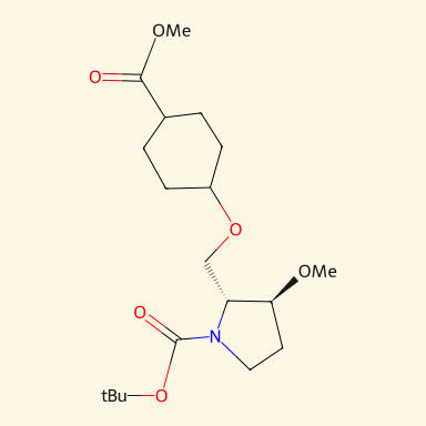 COC(=O)C1CCC(OC[C@@H]2[C@@H](OC)CCN2C(=O)OC(C)(C)C)CC1